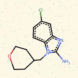 Nc1nc2cc(Cl)ccc2n1CC1CCOCC1